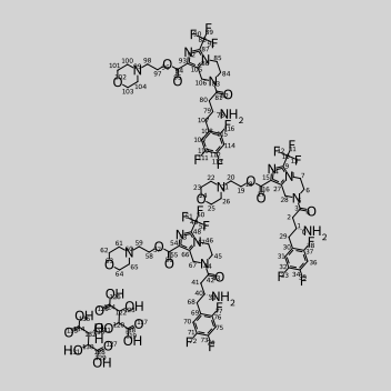 N[C@@H](CC(=O)N1CCn2c(C(F)(F)F)nc(C(=O)OCCN3CCOCC3)c2C1)Cc1cc(F)c(F)cc1F.N[C@@H](CC(=O)N1CCn2c(C(F)(F)F)nc(C(=O)OCCN3CCOCC3)c2C1)Cc1cc(F)c(F)cc1F.N[C@@H](CC(=O)N1CCn2c(C(F)(F)F)nc(C(=O)OCCN3CCOCC3)c2C1)Cc1cc(F)c(F)cc1F.O=C(O)C(O)C(O)C(=O)O.O=C(O)[C@@H](O)[C@@H](O)C(=O)O